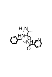 C[C@@H](N)C(=O)N[C@H](CNC(=O)c1cccnc1)c1ccccc1